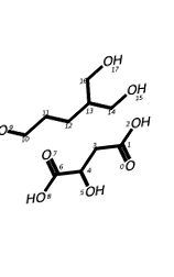 O=C(O)CC(O)C(=O)O.OCCCC(CO)CO